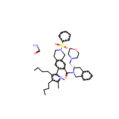 CCCCc1c(CCCC)c(-c2cc3c(cc2C(=O)N2Cc4ccccc4C[C@H]2CN2CCOCC2)CN(S(=O)(=O)c2ccccc2)CC3)n(C)c1C.NC=O